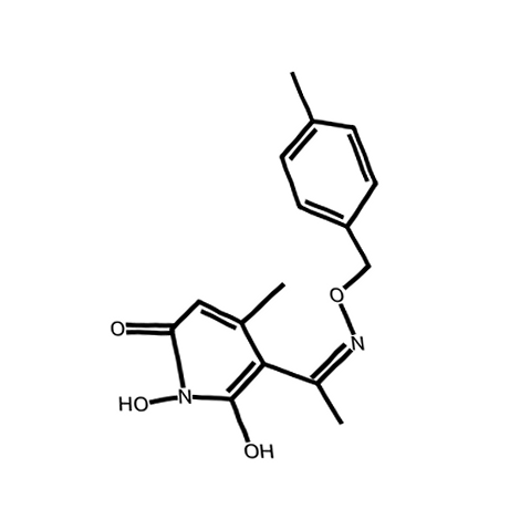 CC(=NOCc1ccc(C)cc1)c1c(C)cc(=O)n(O)c1O